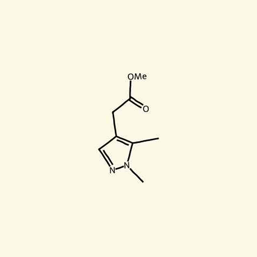 COC(=O)Cc1cnn(C)c1C